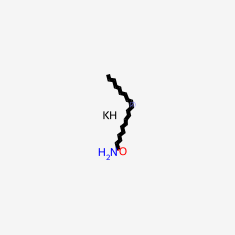 CCCCCCCC/C=C\CCCCCCCCCC(N)=O.[KH]